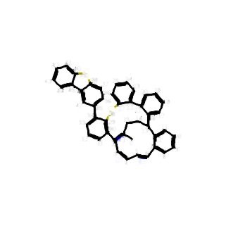 C\C1=C2/C=C\C=C\c3ccccc3C(CC1)c1ccccc1-c1ccccc1Sc1c2cccc1-c1ccc2sc3ccccc3c2c1